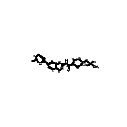 CC1=NC=C=C(c2ccc3cnc(NC(=O)C4CCN(CC(C)(C)O)CC4)cc3c2)O1